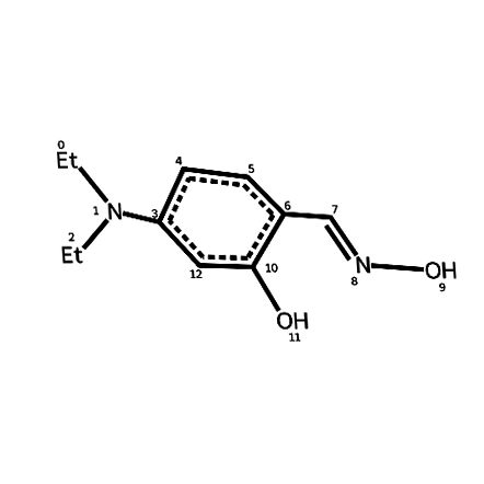 CCN(CC)c1ccc(C=NO)c(O)c1